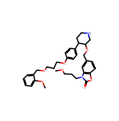 COCCCn1c(=O)oc2ccc(COC3CNCCC3c3ccc(OCCCOCc4ccccc4OC)cc3)cc21